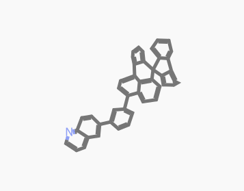 c1cc(-c2ccc3ncccc3c2)cc(-c2ccc3c4c(cccc24)C2(c4ccccc4-c4ccccc42)c2ccccc2-3)c1